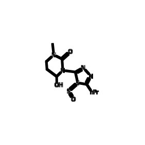 CCCC1=NN=C(N2C(=O)N(C)CCC2O)S1=S=O